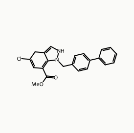 COC(=O)C1=C2C(=CNN2Cc2ccc(-c3ccccc3)cc2)CC(Cl)=C1